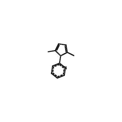 CC1=CC=C(C)C1c1ccccn1